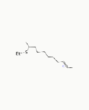 C/C=C/CCCCCCC(C)SCC